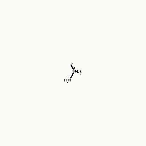 CNN.S